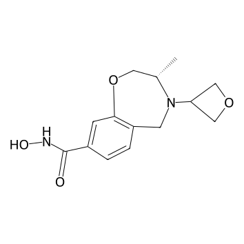 C[C@H]1COc2cc(C(=O)NO)ccc2CN1C1COC1